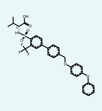 CC(C)[C@@H](NS(=O)(=O)c1ccc(-c2ccc(COc3ccc(Oc4ccccc4)cc3)cc2)cc1C(F)(F)F)C(=O)O